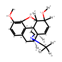 [2H]OC1([2H])C=C[C@H]2[C@@]3([2H])Cc4ccc(OC)c5c4[C@@]2(CCN3C([2H])([2H])[2H])C1([2H])O5